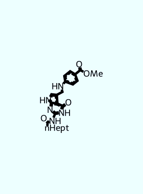 CCCCCCCC(=O)Nc1nc2[nH]cc(CNc3ccc(C(=O)OC)cc3)c2c(=O)[nH]1